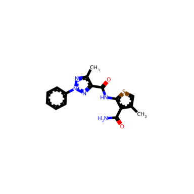 Cc1csc(NC(=O)c2nn(-c3ccccc3)nc2C)c1C(N)=O